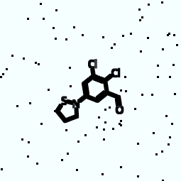 O=Cc1cc(N2CCCS2)cc(Cl)c1Cl